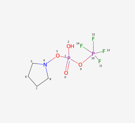 O=P(O)(ON1CCCC1)OP(F)(F)(F)F